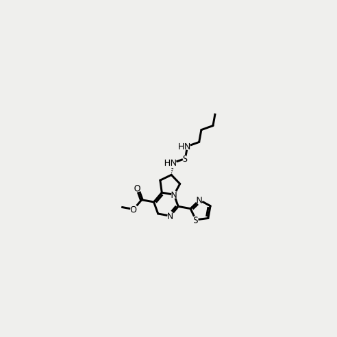 CCCCNSN[C@H]1CC2=C(C(=O)OC)CN=C(c3nccs3)N2C1